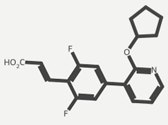 O=C(O)C=Cc1c(F)cc(-c2cccnc2OC2CCCC2)cc1F